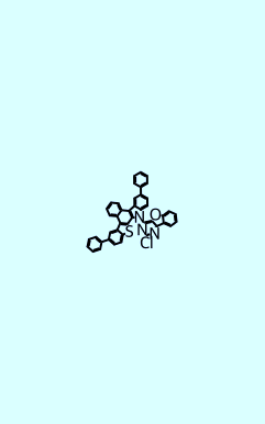 Clc1nc(-n2c3ccc(-c4ccccc4)cc3c3c4ccccc4c4c5cc(-c6ccccc6)ccc5sc4c32)c2oc3ccccc3c2n1